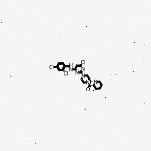 O=C([C@H]1CCCCN1)N1CCN(c2nc(Cl)cc(NCc3ccc(Cl)cc3Cl)n2)CC1